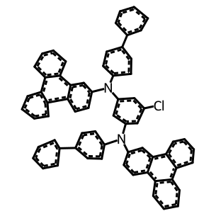 Clc1cc(N(c2ccc(-c3ccccc3)cc2)c2ccc3c4ccccc4c4ccccc4c3c2)cc(N(c2ccc(-c3ccccc3)cc2)c2ccc3c4ccccc4c4ccccc4c3c2)c1